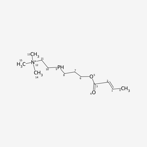 CC=CC(=O)OCCCPCC[N+](C)(C)C